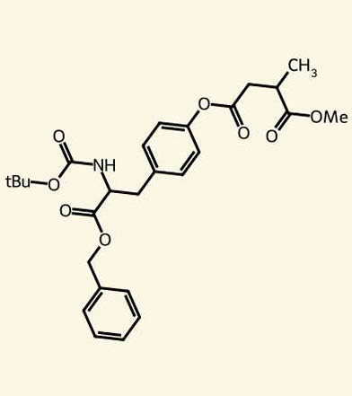 COC(=O)C(C)CC(=O)Oc1ccc(CC(NC(=O)OC(C)(C)C)C(=O)OCc2ccccc2)cc1